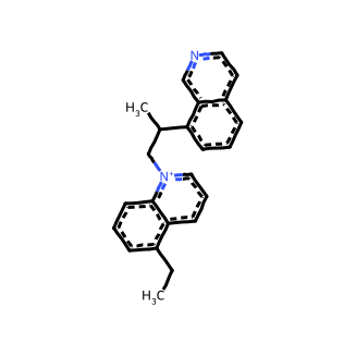 CCc1cccc2c1ccc[n+]2CC(C)c1cccc2ccncc12